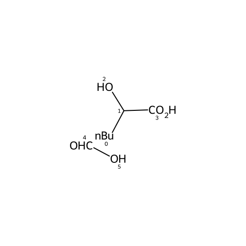 CCCCC(O)C(=O)O.O=CO